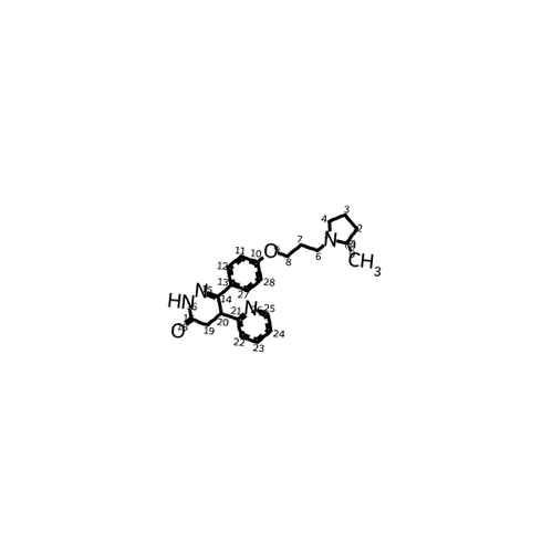 C[C@@H]1CCCN1CCCOc1ccc(C2=NNC(=O)CC2c2ccccn2)cc1